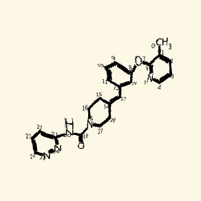 Cc1cccnc1Oc1cccc(C=C2CCN(C(=O)Nc3cccnn3)CC2)c1